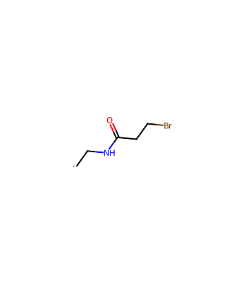 [CH2]CNC(=O)CCBr